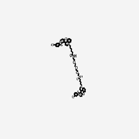 O=C(CCCCCN1C=CC2=C3c4sc5ccc(Cl)cc5[n+]4CCC3Oc3cccc1c32)NCCOCCOCCOCCNC(=O)CCCCCN1C=CC2=C3c4sc5ccc(Cl)cc5[n+]4CCC3Oc3cccc1c32